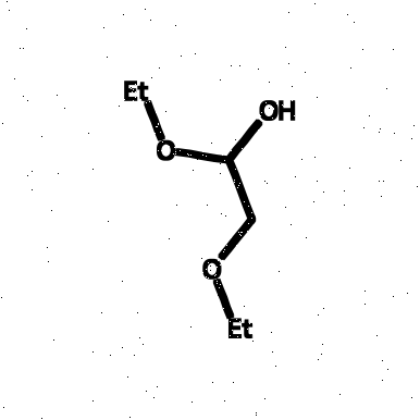 CCOCC(O)OCC